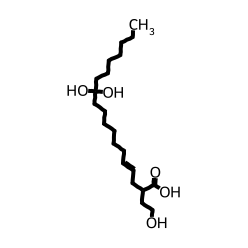 CCCCCCCC(O)(O)CCCCCCC=CCC(CCO)C(=O)O